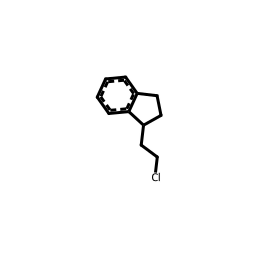 ClCCC1CCc2ccccc21